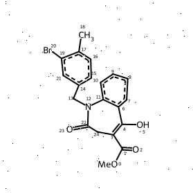 COC(=O)C1=C(O)c2ccccc2N(Cc2ccc(C)c(Br)c2)C(=O)C1